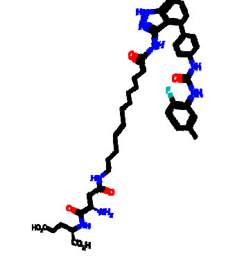 Cc1ccc(F)c(NC(=O)Nc2ccc(-c3cccc4[nH]nc(NC(=O)CCCCCCCCCCCNC(=O)C[C@H](N)C(=O)N[C@@H](CCC(=O)O)C(=O)O)c34)cc2)c1